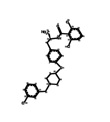 O=C(N[C@@H](Cc1ccc(OC2CCN(Cc3cccc(Cl)c3)CC2)cc1)C(=O)O)c1c(Cl)cccc1Cl